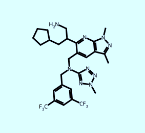 Cc1nn(C)c2nc(C(CN)CC3CCCC3)c(CN(Cc3cc(C(F)(F)F)cc(C(F)(F)F)c3)c3nnn(C)n3)cc12